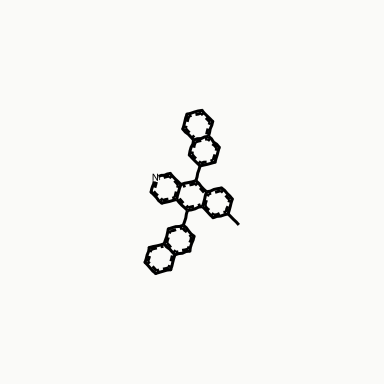 Cc1ccc2c(-c3ccc4ccccc4c3)c3cnccc3c(-c3ccc4ccccc4c3)c2c1